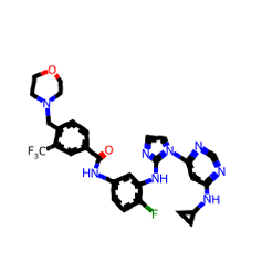 O=C(Nc1ccc(F)c(Nc2nccn2-c2cc(NC3CC3)ncn2)c1)c1ccc(CN2CCOCC2)c(C(F)(F)F)c1